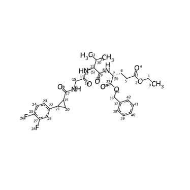 CCOC(=O)CC[C@@H](NC(=O)[C@@H](NC(=O)CNC(=O)C1CC1c1ccc(F)c(F)c1)C(C)C)C(=O)OCc1ccccc1